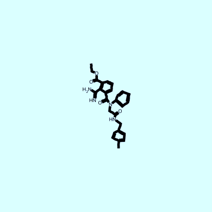 CCOC(=O)c1cccc(C(=O)N(CC(=O)NCc2ccc(C)cc2)c2ccccc2)c1C(=N)N